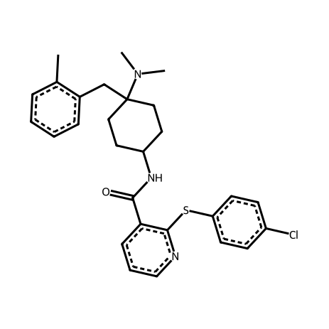 Cc1ccccc1CC1(N(C)C)CCC(NC(=O)c2cccnc2Sc2ccc(Cl)cc2)CC1